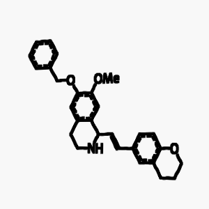 COc1cc2c(cc1OCc1ccccc1)CCNC2/C=C/c1ccc2c(c1)CCCO2